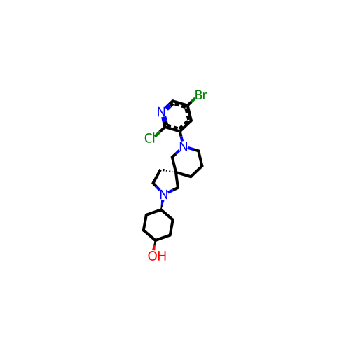 O[C@H]1CC[C@@H](N2CC[C@]3(CCCN(c4cc(Br)cnc4Cl)C3)C2)CC1